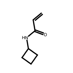 C=CC(=O)NC1CCC1